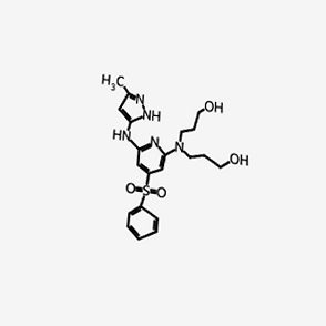 Cc1cc(Nc2cc(S(=O)(=O)c3ccccc3)cc(N(CCCO)CCCO)n2)[nH]n1